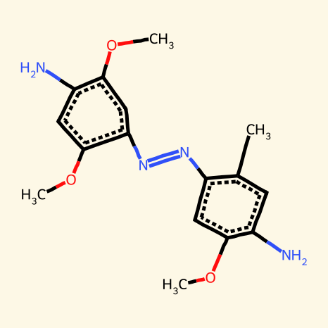 COc1cc(N=Nc2cc(OC)c(N)cc2OC)c(C)cc1N